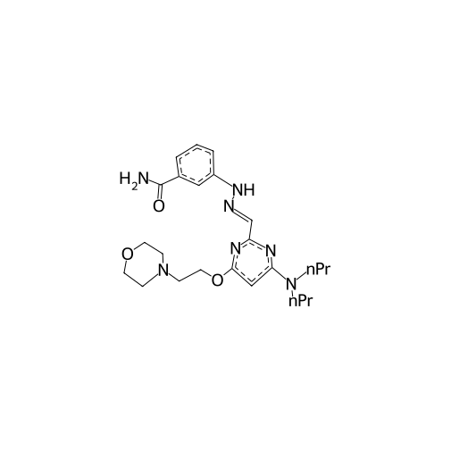 CCCN(CCC)c1cc(OCCN2CCOCC2)nc(/C=N/Nc2cccc(C(N)=O)c2)n1